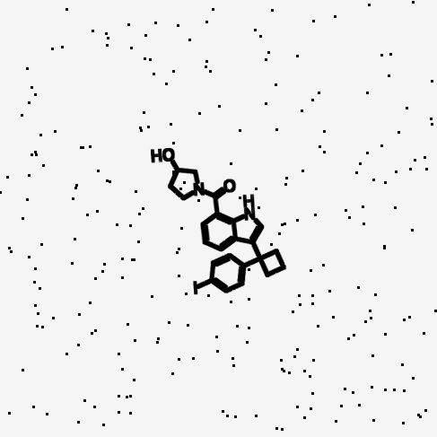 O=C(c1cccc2c(C3(c4ccc(I)cc4)CCC3)c[nH]c12)N1CCC(O)C1